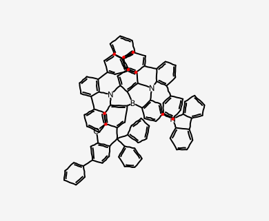 c1ccc(-c2ccc3c(c2)Oc2cc4c(cc2C3(c2ccccc2)c2ccccc2)B2c3ccc(-n5c6ccccc6c6ccccc65)cc3N(c3c(-c5ccccc5)cccc3-c3ccccc3)c3cc(-c5ccccc5)cc(c32)N4c2c(-c3ccccc3)cccc2-c2ccccc2)cc1